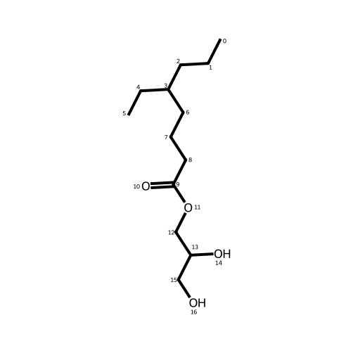 CCCC(CC)CCCC(=O)OCC(O)CO